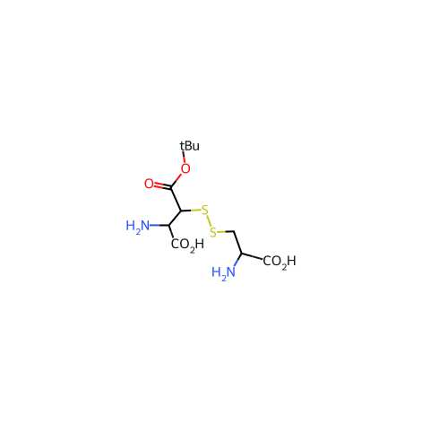 CC(C)(C)OC(=O)C(SSCC(N)C(=O)O)C(N)C(=O)O